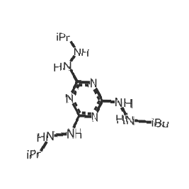 CCC(C)NNc1nc(NNC(C)C)nc(NNC(C)C)n1